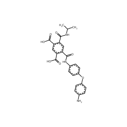 CC(C)NC(=O)c1cc(C(=O)Nc2ccc(Oc3ccc(N)cc3)cc2)c(C(=O)O)cc1C(=O)O